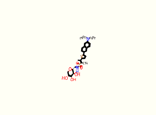 CCCN(CCC)c1ccc2cc(-c3ccc(/C(C)=C(\C#N)S(=O)(=O)NC[C@H]4OC[C@H](O)[C@@H](O)[C@@H]4O)s3)ccc2c1